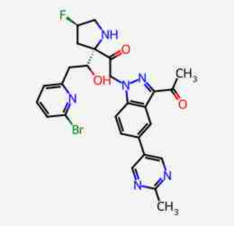 CC(=O)c1nn(CC(=O)[C@@]2(C(O)Cc3cccc(Br)n3)C[C@@H](F)CN2)c2ccc(-c3cnc(C)nc3)cc12